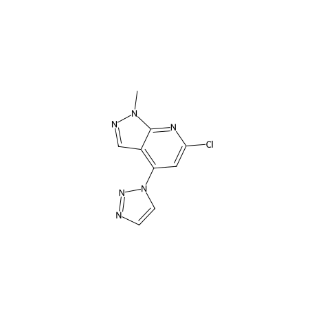 Cn1ncc2c(-n3ccnn3)cc(Cl)nc21